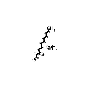 CCCCCCCCCC(=O)CC=O.[CaH2].[Zn]